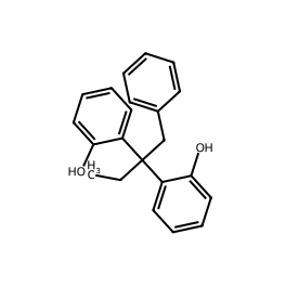 CCC(Cc1ccccc1)(c1ccccc1O)c1ccccc1O